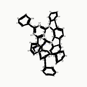 C/C=C\C(=C(/C)n1c2ccccc2c2ccc3c4ccccc4n(-c4nc(-c5ccccc5)nc(-c5ccccc5)n4)c3c21)c1ccc(-c2ccccc2)c(-c2ccccc2)c1